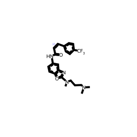 CN(C)CCCN(C)c1nc2cc(NC(=O)/C=C\c3ccc(C(F)(F)F)cc3)ccc2o1